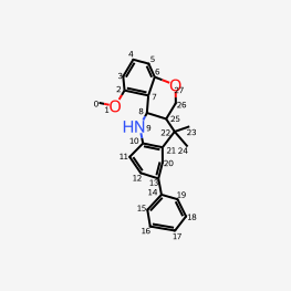 COc1cccc2c1C1Nc3ccc(-c4ccccc4)cc3C(C)(C)C1CO2